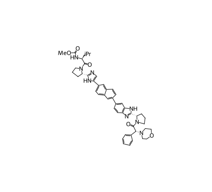 COC(=O)N[C@H](C(=O)N1CCC[C@H]1c1ncc(-c2ccc3cc(-c4ccc5nc([C@@H]6CCCN6C(=O)[C@@H](c6ccccc6)N6CCOCC6)[nH]c5c4)ccc3c2)[nH]1)C(C)C